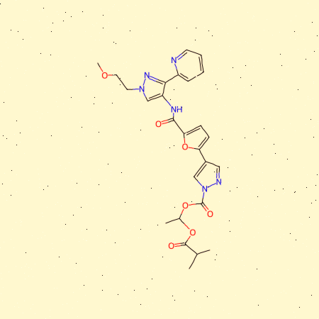 COCCn1cc(NC(=O)c2ccc(-c3cnn(C(=O)OC(C)OC(=O)C(C)C)c3)o2)c(-c2ccccn2)n1